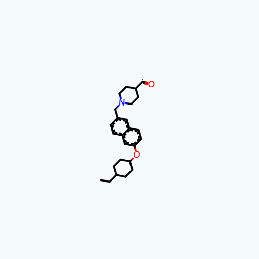 CCC1CCC(Oc2ccc3cc(CN4CCC([C]=O)CC4)ccc3c2)CC1